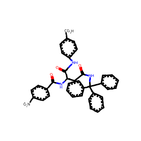 O=C(CC(NC(=O)c1ccc([N+](=O)[O-])cc1)C(=O)Nc1ccc(C(=O)O)cc1)NC(c1ccccc1)(c1ccccc1)c1ccccc1